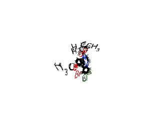 COc1cccc(C23Cc4c(cc(F)c(Cl)c4Br)N2CCN(C(=O)OC(C)(C)C)C3)c1